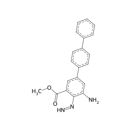 COC(=O)c1cc(-c2ccc(-c3ccccc3)cc2)cc(N)c1N=N